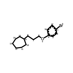 Brc1ccc(OCCCC2CCCCCC2)cc1